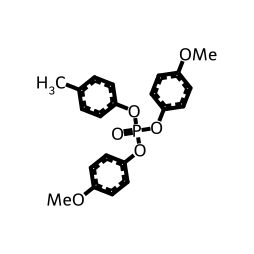 COc1ccc(OP(=O)(Oc2ccc(C)cc2)Oc2ccc(OC)cc2)cc1